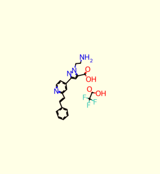 NCCn1nc(-c2ccnc(/C=C/c3ccccc3)c2)cc1C(=O)O.O=C(O)C(F)(F)F